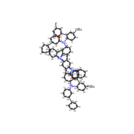 Cc1cccc(-c2cc(C(C)(C)C)ccc2N(c2cccc(-c3ccccc3)c2)c2ccc3c4cc5c(cc4n4c6ccccc6c2c34)c2ccc(N(c3cccc(-c4ccccc4)c3)c3ccc(C(C)(C)C)cc3-c3cccc(C)c3)c3c4ccccc4n5c23)c1